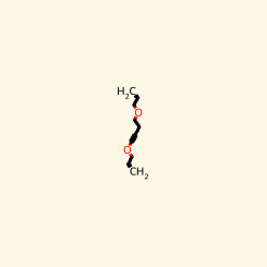 C=CCOC#CCCOCC=C